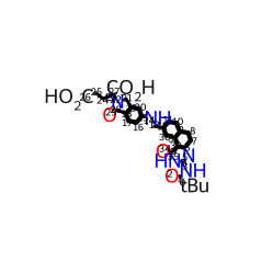 CC(C)(C)C(=O)Nc1nc2ccc3ccc(CNc4ccc5c(c4)CN([C@@H](CCC(=O)O)C(=O)O)C5=O)cc3c2c(=O)[nH]1